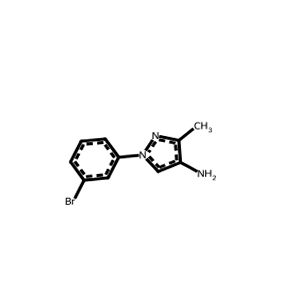 Cc1nn(-c2cccc(Br)c2)cc1N